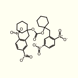 O=C(OC1(Cc2cc([N+](=O)[O-])ccc2[N+](=O)[O-])CCCCC1)OC1(Cc2cc([N+](=O)[O-])ccc2[N+](=O)[O-])CCCCC1